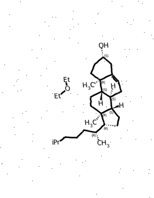 CC(C)CCC[C@@H](C)[C@H]1CC[C@H]2[C@@H]3CC=C4C[C@@H](O)CC[C@]4(C)[C@H]3CC[C@]12C.CCOCC